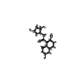 Cc1cnc2c(C(=O)Oc3cc(C)nn3C)c(Cl)ccc2c1